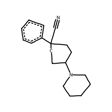 N#CC1(c2ccccc2)CCC(N2CCCCC2)CC1